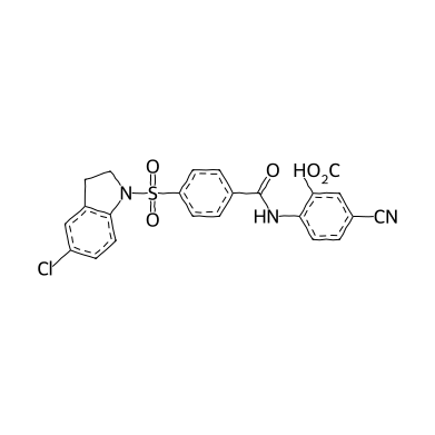 N#Cc1ccc(NC(=O)c2ccc(S(=O)(=O)N3CCc4cc(Cl)ccc43)cc2)c(C(=O)O)c1